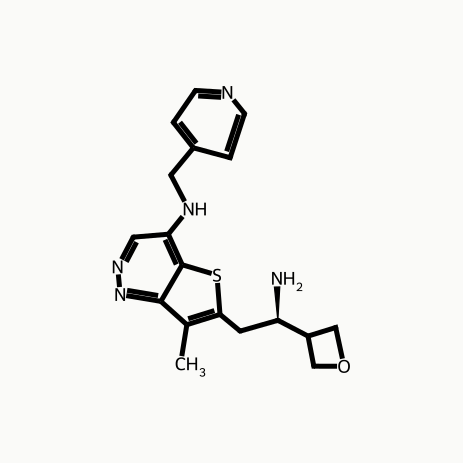 Cc1c(C[C@@H](N)C2COC2)sc2c(NCc3ccncc3)cnnc12